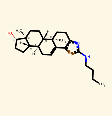 CCCCNc1nc2c(s1)C1=CC[C@H]3[C@@H]4CC[C@H](O)[C@@]4(C)CC[C@@H]3[C@@]1(C)CC2